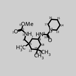 COC(=O)NCC1(C)CC(NC(=O)N2CCCCC2)CC(C)(C)C1